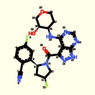 N#Cc1ccc(F)cc1[C@H]1C[C@H](F)CN1C(=O)c1n[nH]c2ncnc(N[C@@H]3CCOC[C@H]3O)c12